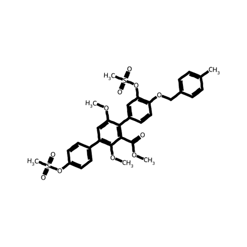 COC(=O)c1c(OC)c(-c2ccc(OS(C)(=O)=O)cc2)cc(OC)c1-c1ccc(OCc2ccc(C)cc2)c(OS(C)(=O)=O)c1